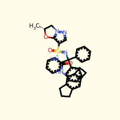 C[C@@H]1Cn2ncc([S@](=O)(=NC(c3ccccc3)(c3ccccc3)c3ccccc3)NC(=O)Nc3c4c(cc5c3CC5)CCC4)c2O1